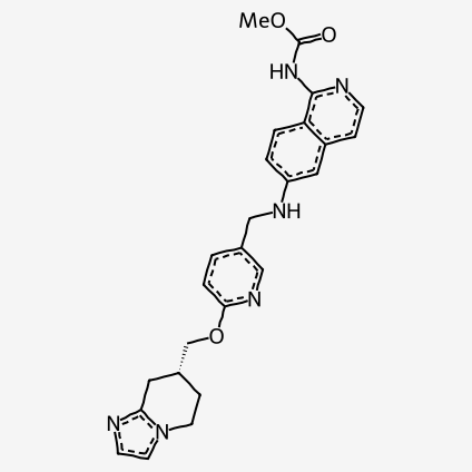 COC(=O)Nc1nccc2cc(NCc3ccc(OC[C@@H]4CCn5ccnc5C4)nc3)ccc12